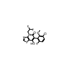 COc1c(Cl)ccc(F)c1-c1c(O)c2scnc2n(CC(F)F)c1=O